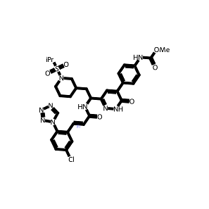 COC(=O)Nc1ccc(-c2cc(C(CC3CCCN(S(=O)(=O)C(C)C)C3)NC(=O)/C=C/c3cc(Cl)ccc3-n3cnnn3)n[nH]c2=O)cc1